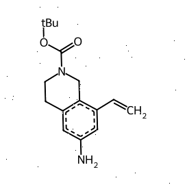 C=Cc1cc(N)cc2c1CN(C(=O)OC(C)(C)C)CC2